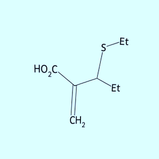 C=C(C(=O)O)C(CC)SCC